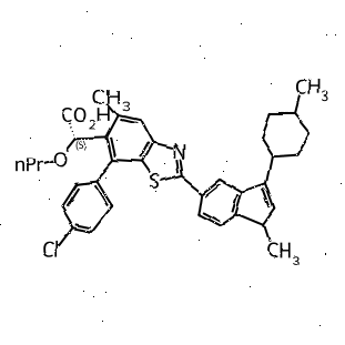 CCCO[C@H](C(=O)O)c1c(C)cc2nc(-c3ccc4c(c3)C(C3CCC(C)CC3)=CC4C)sc2c1-c1ccc(Cl)cc1